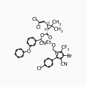 CC1(C)[C@H](C=C(Cl)Cl)[C@H]1C(=O)OC(C#N)c1cccc(Oc2ccccc2)c1.CCOCn1c(-c2ccc(Cl)cc2)c(C#N)c(Br)c1C(F)(F)F